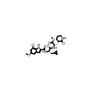 COC(=O)[C@H](C[C@@H]1CCCNC1=O)NC(=O)[C@H](CC1CC1)NC(=O)c1cc2cc(OC)cc(Cl)c2[nH]1